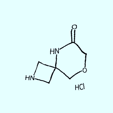 Cl.O=C1COCC2(CNC2)N1